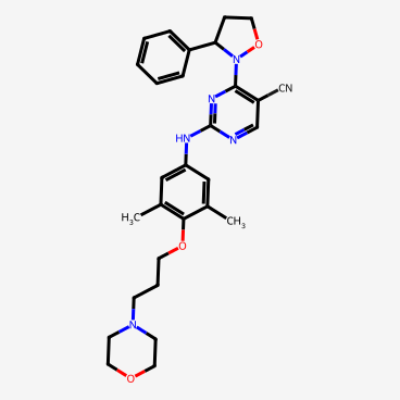 Cc1cc(Nc2ncc(C#N)c(N3OCCC3c3ccccc3)n2)cc(C)c1OCCCN1CCOCC1